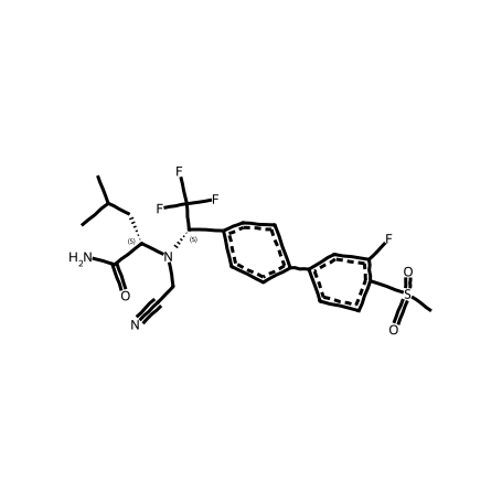 CC(C)C[C@@H](C(N)=O)N(CC#N)[C@@H](c1ccc(-c2ccc(S(C)(=O)=O)c(F)c2)cc1)C(F)(F)F